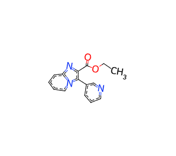 CCOC(=O)c1nc2ccccn2c1-c1cccnc1